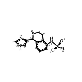 CCS(=O)(=O)Nc1cccc2c1CCSC2c1c[nH]cn1